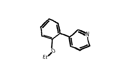 CCOc1ccccc1-c1cccnc1